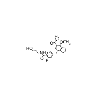 COc1c(C(N)=O)cc(Cc2ccc(C(=O)NCCCO)c(F)c2)c2c1CCC2